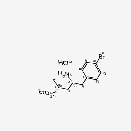 CCOC(=O)[C@H](C)C[C@H](N)Cc1ccc(Br)cc1.Cl